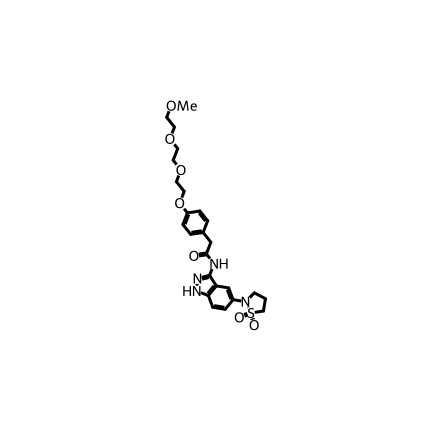 COCCOCCOCCOc1ccc(CC(=O)Nc2n[nH]c3ccc(N4CCCS4(=O)=O)cc23)cc1